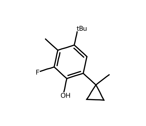 Cc1c(C(C)(C)C)cc(C2(C)CC2)c(O)c1F